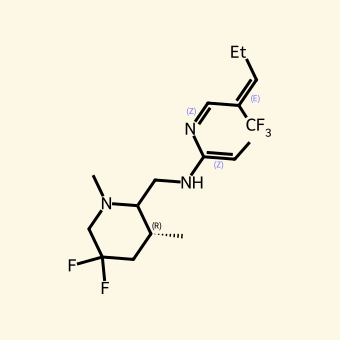 C\C=C(/N=C\C(=C/CC)C(F)(F)F)NCC1[C@H](C)CC(F)(F)CN1C